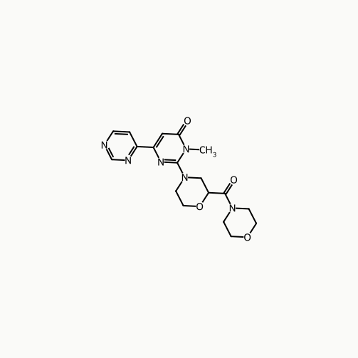 Cn1c(N2CCOC(C(=O)N3CCOCC3)C2)nc(-c2ccncn2)cc1=O